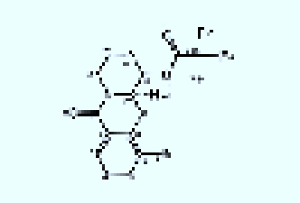 O=C1c2cccc(Br)c2C[C@@H]2C(OC(=O)C(F)(F)F)NCCN12